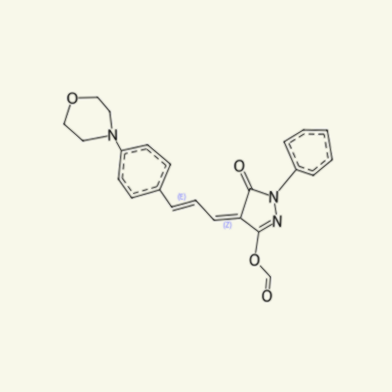 O=COC1=NN(c2ccccc2)C(=O)/C1=C\C=C\c1ccc(N2CCOCC2)cc1